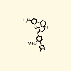 COc1cc(/C=C2\CC[C@H]3CCC[C@@H](c4ccc(N)cc4)N3C2=O)ccc1-n1cnc(C)c1